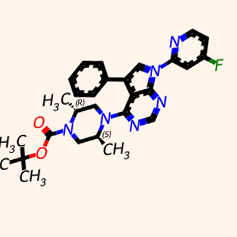 C[C@@H]1CN(c2ncnc3c2c(-c2ccccc2)cn3-c2cc(F)ccn2)[C@@H](C)CN1C(=O)OC(C)(C)C